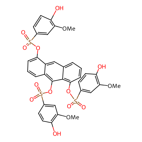 COc1cc(S(=O)(=O)Oc2cccc3c(OS(=O)(=O)c4ccc(O)c(OC)c4)c4c(OS(=O)(=O)c5ccc(O)c(OC)c5)cccc4cc23)ccc1O